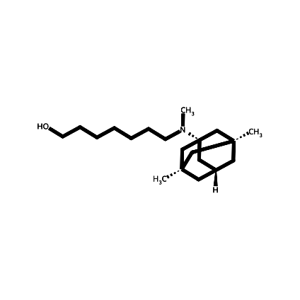 CN(CCCCCCCO)[C@]12C[C@@H]3C[C@@](C)(C[C@@](C)(C3)C1)C2